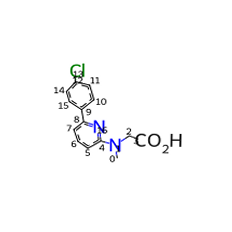 CN(CC(=O)O)c1cccc(-c2ccc(Cl)cc2)n1